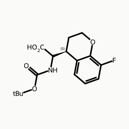 CC(C)(C)OC(=O)NC(C(=O)O)[C@H]1CCOc2c(F)cccc21